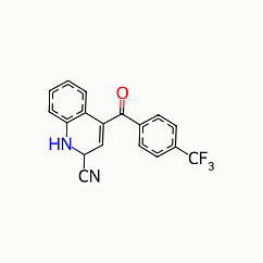 N#CC1C=C(C(=O)c2ccc(C(F)(F)F)cc2)c2ccccc2N1